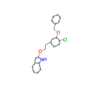 Clc1ccc(CCOc2cc3ccccc3[nH]2)cc1OCc1ccccc1